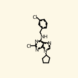 Clc1cccc(CNc2nc(Cl)nc3c2ncn3C2CCCC2)c1